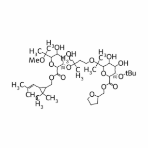 COC(C)(C)C1OC(C(=O)OCC2C(C=C(C)C)C2(C)C)[C@@H](OC(C)(C)CCOC(C)(C)C2OC(C(=O)OCC3CCCO3)[C@@H](OC(C)(C)C)C(O)C2O)C(O)C1O